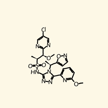 COc1cccc(-c2nnc(NS(=O)(=O)[C@@H](C)[C@H](OC)c3ncc(Cl)cn3)n2[C@@H](C)c2ccno2)n1